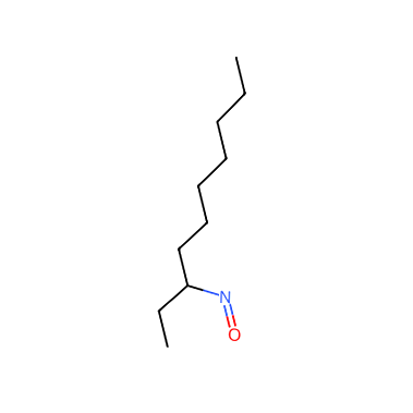 CCCCCCCC(CC)N=O